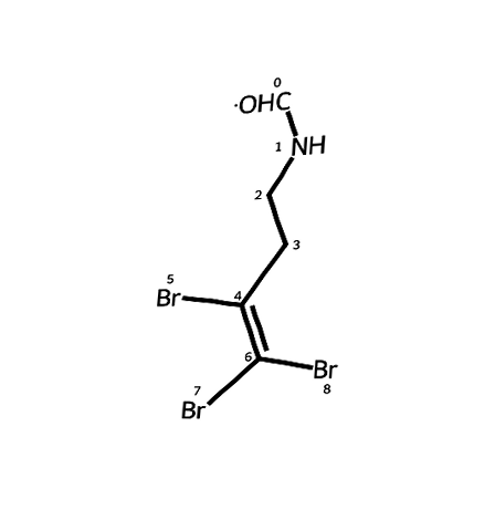 O=[C]NCCC(Br)=C(Br)Br